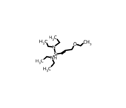 CCOCC=C[SiH](N(CC)CC)N(CC)CC